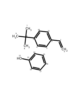 C=Cc1ccc(C(C)(C)C)cc1.Oc1ccccc1